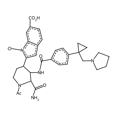 CC(=O)N1CCC(c2cc3ccc(C(=O)O)cc3n2Cl)C(NC(=O)c2ccc(C3(CN4CCCC4)CC3)cc2)C1C(N)=O